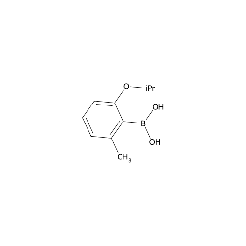 Cc1cccc(OC(C)C)c1B(O)O